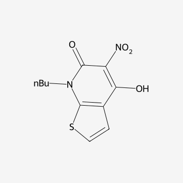 CCCCn1c(=O)c([N+](=O)[O-])c(O)c2ccsc21